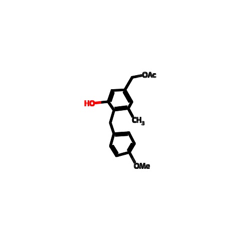 COc1ccc(Cc2c(C)cc(COC(C)=O)cc2O)cc1